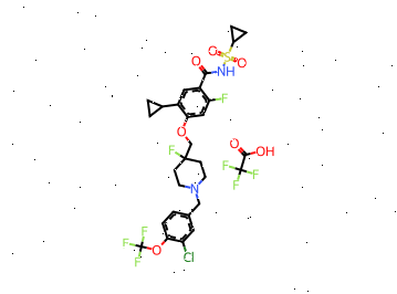 O=C(NS(=O)(=O)C1CC1)c1cc(C2CC2)c(OCC2(F)CCN(Cc3ccc(OC(F)(F)F)c(Cl)c3)CC2)cc1F.O=C(O)C(F)(F)F